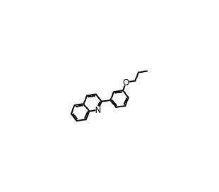 CCCOc1cccc(-c2ccc3ccccc3n2)c1